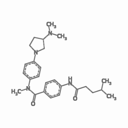 CC(C)CCC(=O)Nc1ccc(C(=O)N(C)c2ccc(N3CCC(N(C)C)C3)cc2)cc1